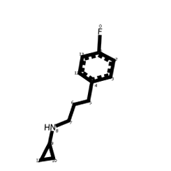 Fc1ccc(CCCNC2CC2)cc1